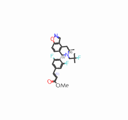 COC(=O)/C=C/c1cc(F)c([C@@H]2c3ccc4oncc4c3C[C@@H](C)N2CC(C)(C)F)c(F)c1